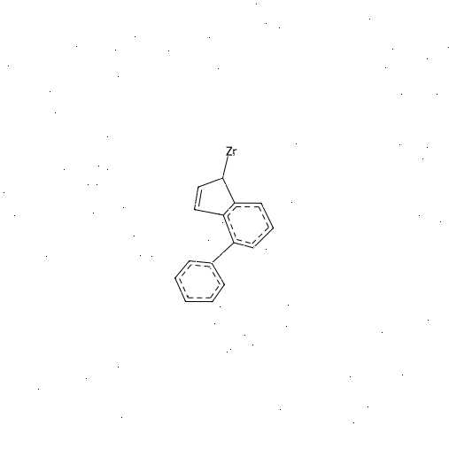 [Zr][CH]1C=Cc2c(-c3ccccc3)cccc21